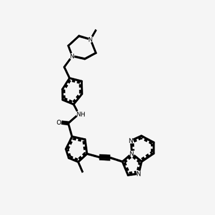 Cc1ccc(C(=O)Nc2ccc(CN3CCN(C)CC3)cc2)cc1C#Cc1cnc2cccnn12